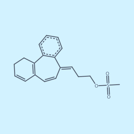 CS(=O)(=O)OCCC=C1C=CC2=C(CCC=C2)c2ccccc21